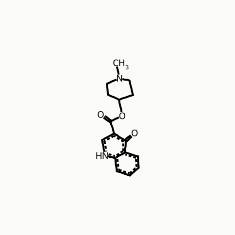 CN1CCC(OC(=O)c2c[nH]c3ccccc3c2=O)CC1